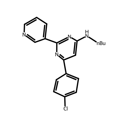 CCCCNc1cc(-c2ccc(Cl)cc2)nc(-c2cccnc2)n1